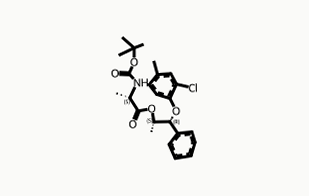 Cc1ccc(O[C@H](c2ccccc2)[C@H](C)OC(=O)[C@H](C)NC(=O)OC(C)(C)C)c(Cl)c1